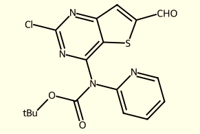 CC(C)(C)OC(=O)N(c1ccccn1)c1nc(Cl)nc2cc(C=O)sc12